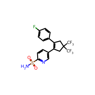 NS(=O)(=O)c1ccc(C2=C(c3ccc(F)cc3)CC(C(F)(F)F)(C(F)(F)F)C2)cn1